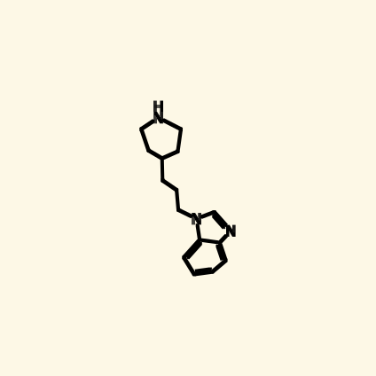 c1ccc2c(c1)ncn2CCCC1CCNCC1